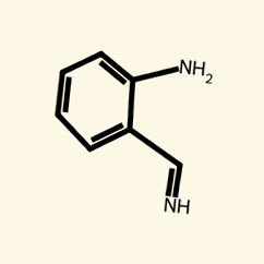 N=Cc1ccccc1N